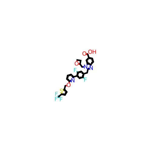 O=C(O)c1ccc2nc(Cc3cc(F)c(-c4cccc(OCc5ccc(C(F)(F)F)s5)n4)cc3F)n(CC3CCO3)c2c1